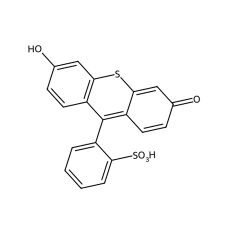 O=c1ccc2c(-c3ccccc3S(=O)(=O)O)c3ccc(O)cc3sc-2c1